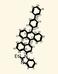 CCc1nc2ccccc2n1-c1ccc(-c2c3ccccc3c(-c3ccc(-c4ccccc4)cc3)c3ccccc23)c2ccccc12